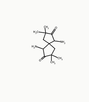 CC1(C)CC2(CC(C)(C)C(=O)C2N)C(N)C1=O